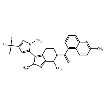 Cc1ccc2c(C(=O)N3CCc4c(nn(C)c4-c4cc(C(F)(F)F)nn4C)C3C)cccc2n1